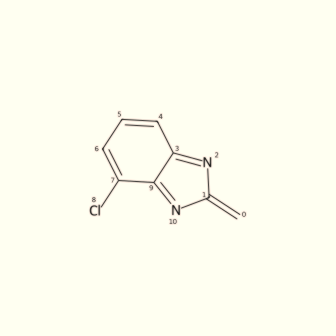 C=C1N=c2cccc(Cl)c2=N1